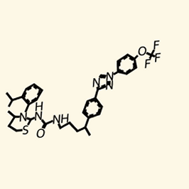 CC(C)c1ccccc1N1C(C)CCSC1NC(=O)NCCCC(C)c1ccc(-c2ncn(-c3ccc(OC(F)(F)F)cc3)n2)cc1